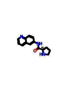 O=C(Nc1ccc2ncccc2c1)[C@H]1CCCN1